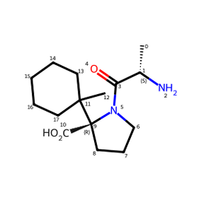 C[C@H](N)C(=O)N1CCC[C@]1(C(=O)O)C1(C)CCCCC1